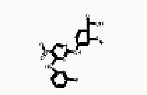 COc1cc(Nc2ncc([N+](=O)[O-])c(Nc3cccc(F)c3)n2)ccc1C(=O)O